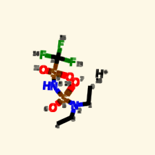 CCN(CC)S(=O)(=O)NS(=O)(=O)C(F)(F)F.[H+]